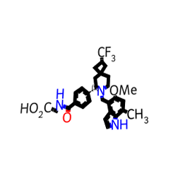 COc1cc(C)c2[nH]ccc2c1CN1CCC2(CC(C(F)(F)F)C2)C[C@H]1c1ccc(C(=O)NCC(=O)O)cc1